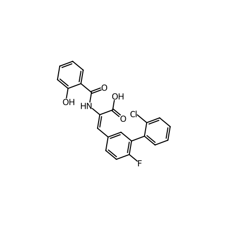 O=C(O)/C(=C\c1ccc(F)c(-c2ccccc2Cl)c1)NC(=O)c1ccccc1O